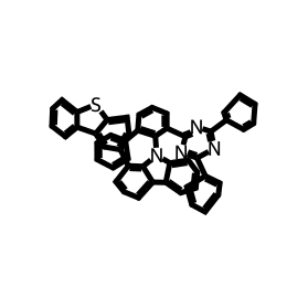 c1ccc(-c2nc(-c3ccccc3)nc(-c3cccc(-c4ccccc4)c3-n3c4ccccc4c4cccc(-c5ccc6sc7ccccc7c6c5)c43)n2)cc1